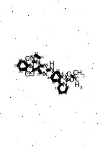 CC(C)(C)OC(=O)N1CCCCC1c1ccc(Nc2ncc3c(=O)n(-c4c(Cl)cccc4Cl)c4nccn4c3n2)cc1